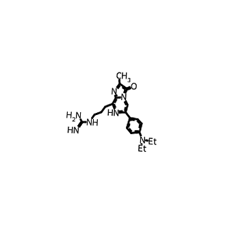 CCN(CC)c1ccc(-c2cn3c(=O)c(C)nc-3c(CCCNC(=N)N)[nH]2)cc1